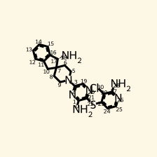 Nc1nc(N2CCC3(CC2)Cc2ccccc2[C@@H]3N)cnc1Sc1ccnc(N)c1Cl